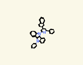 c1ccc(-c2cc(-c3ccc4ccccc4c3)cc(-n3c4ccccc4c4c3c3ccccc3n4-c3ccccc3)n2)cc1